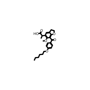 CCCCCCOc1ccc(C(=O)c2c3c(cc(C(C)C(=O)O)c2OC)CCO3)cc1